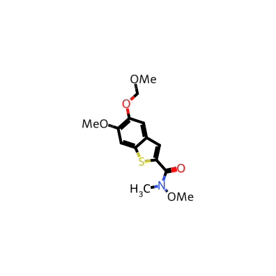 COCOc1cc2cc(C(=O)N(C)OC)sc2cc1OC